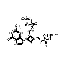 CCCCCCCCOP(=O)(O)OC[C@H]1C[C@@H](n2cnc3c(=O)[nH]c(N)nc32)[C@H]1COP(=O)(O)OCCCCCCCC